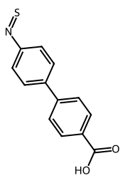 O=C(O)c1ccc(-c2ccc(N=S)cc2)cc1